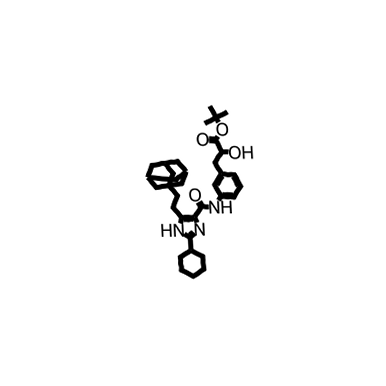 CC(C)(C)OC(=O)C(O)Cc1cccc(NC(=O)c2nc(C3CCCCC3)[nH]c2CCC23CC4CC(CC(C4)C2)C3)c1